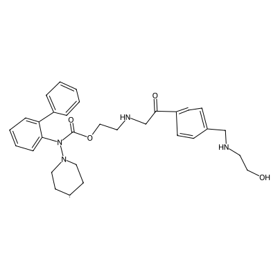 O=C(CNCCOC(=O)N(c1ccccc1-c1ccccc1)N1CC[CH]CC1)c1ccc(CNCCO)cc1